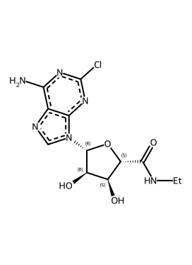 CCNC(=O)[C@H]1O[C@@H](n2cnc3c(N)nc(Cl)nc32)[C@H](O)[C@@H]1O